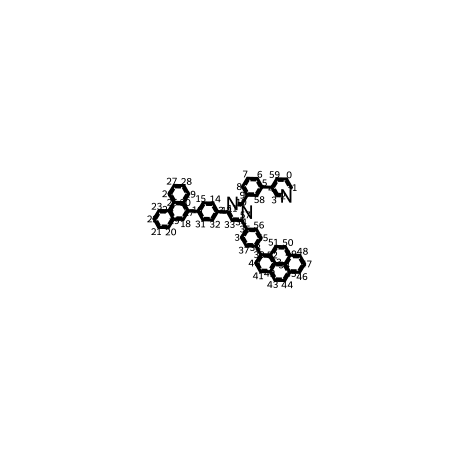 c1cncc(-c2cccc(-c3nc(-c4ccc(-c5cc6ccccc6c6ccccc56)cc4)cc(-c4ccc(-c5ccc6ccc7cccc8ccc5c6c78)cc4)n3)c2)c1